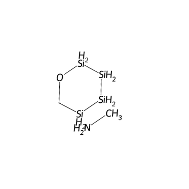 C1O[SiH2][SiH2][SiH2][SiH2]1.CN